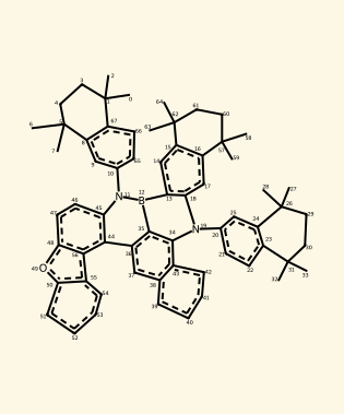 CC1(C)CCC(C)(C)c2cc(N3B4c5cc6c(cc5N(c5ccc7c(c5)C(C)(C)CCC7(C)C)c5c4c(cc4ccccc54)-c4c3ccc3oc5ccccc5c43)C(C)(C)CCC6(C)C)ccc21